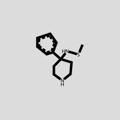 CSNC1(c2ccccc2)CCNCC1